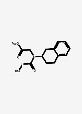 COC(=O)CN(C(=O)OC(C)(C)C)[C@@H]1CCc2ccccc2C1